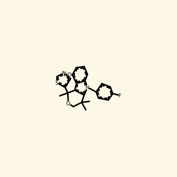 CC1(C)COC(C)(c2cncs2)c2c1n(-c1ccc(F)cc1)c1cccc(O)c21